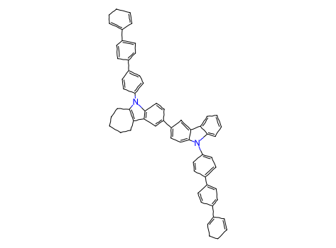 C1=CC(c2ccc(-c3ccc(-n4c5c(c6cc(-c7ccc8c(c7)c7ccccc7n8-c7ccc(-c8ccc(C9=CCCC=C9)cc8)cc7)ccc64)CCCCC5)cc3)cc2)=CCC1